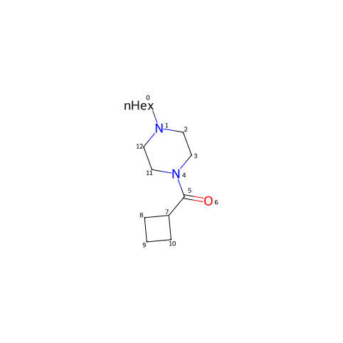 CCCCCCN1CCN(C(=O)C2CCC2)CC1